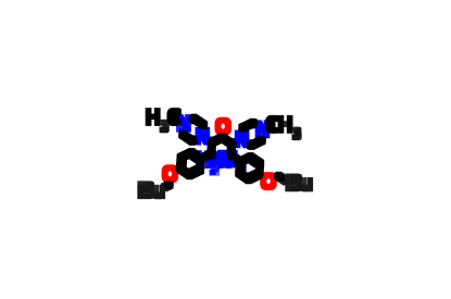 CCC(C)COc1ccc(C(N)C(C(=O)C(C(N)c2ccc(OCC(C)CC)cc2)N2CCN(C)CC2)N2CCN(C)CC2)cc1